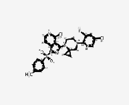 Cc1ccc(S(=O)(=O)n2nc(N3CCN(c4ncc(Cl)cc4F)CC34CC4)c3c(Cl)nccc32)cc1